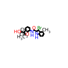 Cc1oc2c(NC(=O)c3[nH]c4cccc(C)c4c3Br)cccc2c1C(C)(C)O